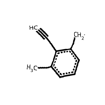 C#Cc1c([CH2])cccc1C